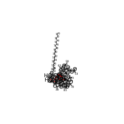 CCCCCCCCCCCCCCCCCCSCCO[C@H]1O[C@H](C(O)C(C)=O)[C@](O)([C@@H]2O[C@H](C(O)C(C)=O)[C@](O)([C@@H]3O[C@H](CO[C@@H]4O[C@H](COC(C)=O)[C@@H](OC(C)=O)[C@H](OC(C)=O)[C@H]4OC(C)=O)[C@@H](OC(C)=O)[C@H](OC(C)=O)[C@H]3OC(C)=O)[C@@](O)(C(C)=O)[C@]2(O)C(C)=O)[C@@](O)(C(C)=O)[C@]1(O)C(C)=O